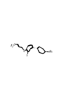 CCC[C@H]1CC[C@H](c2ccc(OC/C=C/C(F)(F)F)c(F)c2)CC1